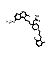 COc1ccc2ncc(Cl)c(CCCC3(CC(=O)O)CCN(CCCc4c(F)cccc4F)CC3)c2c1